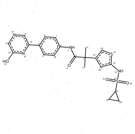 CC(C)(C(=O)Nc1ccc(-c2cncc(O)n2)cc1)c1csc(NS(=O)(=O)C2CC2)n1